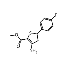 COC(=O)C1=C(N)CC(c2ccc(F)cc2)S1